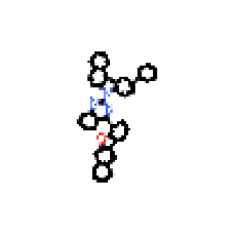 c1ccc(-c2ccc3c(c2)c2c4ccccc4ccc2n3-c2nc(-c3cccc4c3oc3cc5ccccc5cc34)c3ccccc3n2)cc1